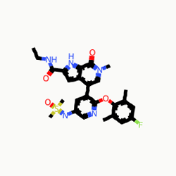 CCNC(=O)c1cc2c(-c3cc(N=S(C)(C)=O)cnc3Oc3c(C)cc(F)cc3C)cn(C)c(=O)c2[nH]1